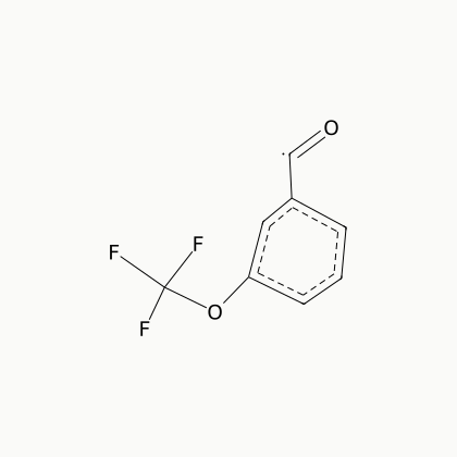 O=[C]c1cccc(OC(F)(F)F)c1